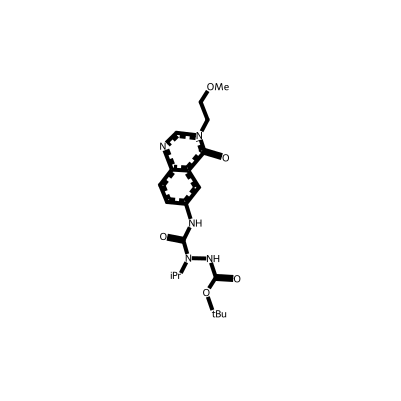 COCCn1cnc2ccc(NC(=O)N(NC(=O)OC(C)(C)C)C(C)C)cc2c1=O